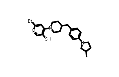 CCc1cc(N2CCC(Cc3ccc(N4CCC(C)C4)cc3)CC2)c(S)cn1